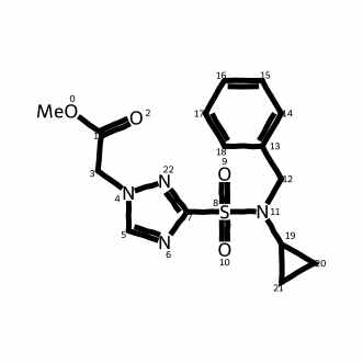 COC(=O)Cn1cnc(S(=O)(=O)N(Cc2ccccc2)C2CC2)n1